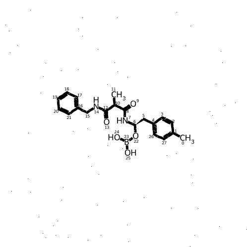 Cc1ccc(C[C@H](NC(=O)C(C)C(=O)NCc2ccccc2)OB(O)O)cc1